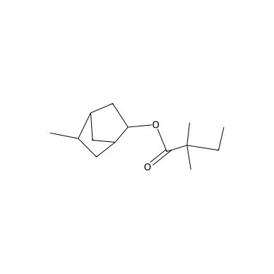 CCC(C)(C)C(=O)OC1CC2CC1CC2C